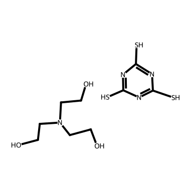 OCCN(CCO)CCO.Sc1nc(S)nc(S)n1